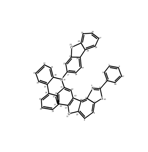 c1ccc(-c2nc3c(ccc4oc5ccc(N(c6ccc7c(c6)oc6ccccc67)c6ccccc6-c6ccccc6)cc5c43)s2)cc1